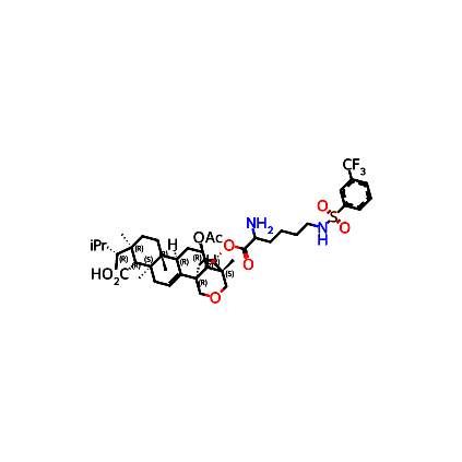 CC(=O)O[C@@H]1C[C@@]23COC[C@](C)([C@@H]2CC[C@H]2C3=CC[C@@]3(C)[C@H](C(=O)O)[C@@](C)([C@H](C)C(C)C)CC[C@]23C)[C@H]1OC(=O)C(N)CCCCNS(=O)(=O)c1cccc(C(F)(F)F)c1